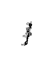 Cc1c(OCCCN2CCC(CO)CC2)cn2ncnc(Nc3cnc(NC(=O)c4ccc(F)c(Cl)c4)nc3)c12